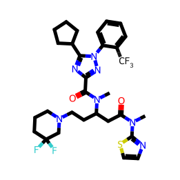 CN(C(=O)CC(CCN1CCCC(F)(F)C1)N(C)C(=O)c1nc(C2CCCC2)n(-c2ccccc2C(F)(F)F)n1)c1nccs1